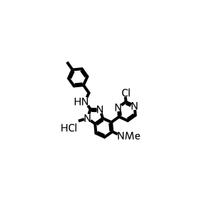 CNc1ccc2c(nc(NCc3ccc(C)cc3)n2C)c1-c1ccnc(Cl)n1.Cl